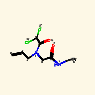 C=CCN(CC(=O)NC(C)C)C(=O)C(Cl)Cl